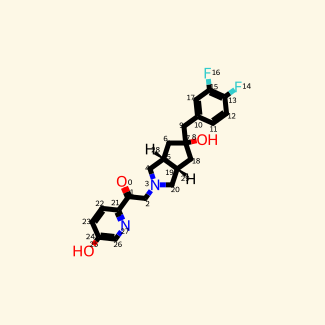 O=C(CN1C[C@@H]2CC(O)(Cc3ccc(F)c(F)c3)C[C@@H]2C1)c1ccc(O)cn1